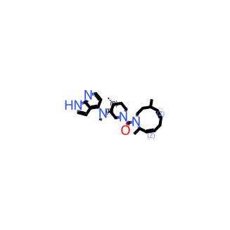 CC1/C=C\C/C=C\C(C)N(C(=O)N2CC[C@@H](C)[C@@H](N(C)c3ccnc4[nH]ccc34)C2)CC1